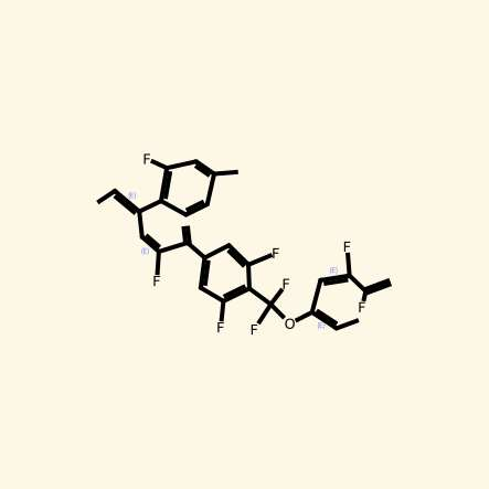 C=C(F)/C(F)=C\C(=C/C)OC(F)(F)c1c(F)cc(C(=C)/C(F)=C\C(=C/C)c2ccc(C)cc2F)cc1F